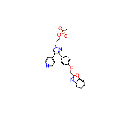 CS(=O)(=O)OCCn1cc(-c2ccncc2)c(-c2ccc(OCc3nc4ccccc4o3)cc2)n1